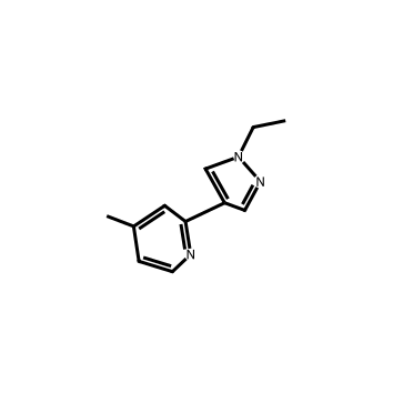 CCn1cc(-c2cc(C)ccn2)cn1